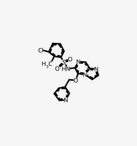 Cc1c(Cl)cccc1S(=O)(=O)Nc1ncc2nccn2c1OCc1cccnc1